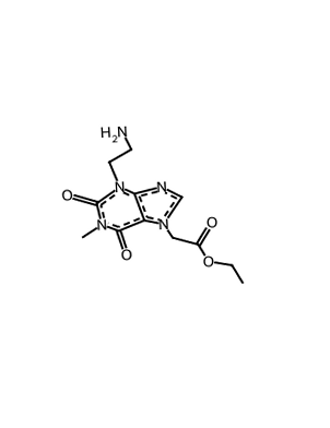 CCOC(=O)Cn1cnc2c1c(=O)n(C)c(=O)n2CCN